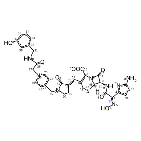 Nc1nc(/C(=N/O)C(=O)N[C@@H]2C(=O)N3C(C(=O)[O-])=C(/C=C4\CCN(Cc5cc[n+](CC(=O)NCc6cccc(O)c6)cc5)C4=O)CS[C@H]23)cs1